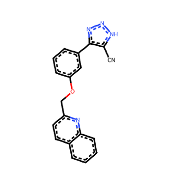 N#Cc1[nH]nnc1-c1cccc(OCc2ccc3ccccc3n2)c1